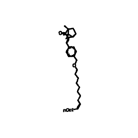 CCCCCCCC/C=C\CCCCCCCCOCc1ccc(C=C2C(=O)C3(C)CCC2C3(C)C)cc1